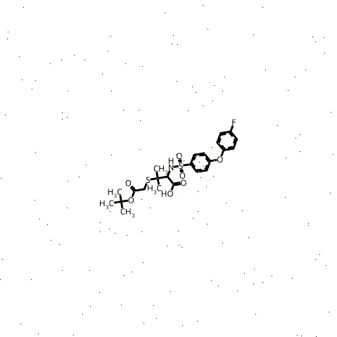 CC(C)(C)OC(=O)CSC(C)(C)C(NS(=O)(=O)c1ccc(Oc2ccc(F)cc2)cc1)C(=O)O